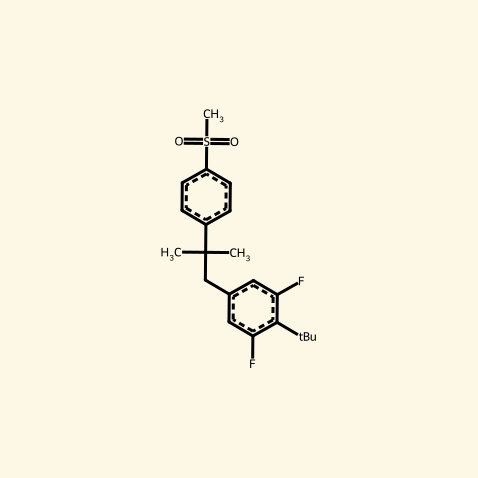 CC(C)(C)c1c(F)cc(CC(C)(C)c2ccc(S(C)(=O)=O)cc2)cc1F